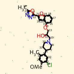 COc1cc(C)c(C2CCN(CC(O)COc3cccc4oc(-c5nnc(C)o5)cc34)CC2)cc1Cl